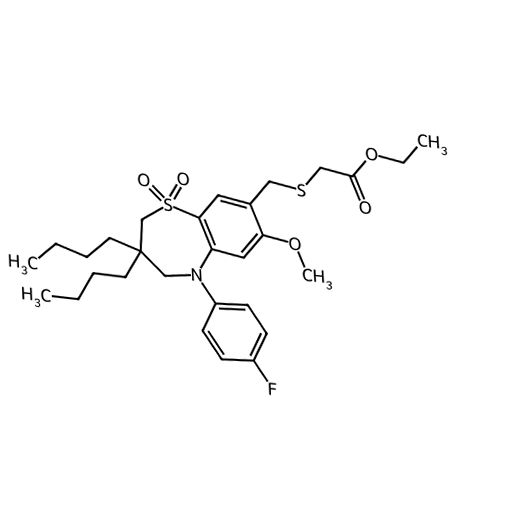 CCCCC1(CCCC)CN(c2ccc(F)cc2)c2cc(OC)c(CSCC(=O)OCC)cc2S(=O)(=O)C1